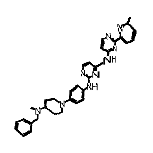 Cc1cccc(-c2nccc(Nc3ccnc(Nc4ccc(N5CCC(N(C)Cc6ccccc6)CC5)cc4)n3)n2)n1